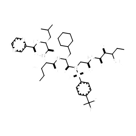 CCC(N)C(=O)C(=O)NC(=O)CN(C(=O)[C@H](CC1CCCCC1)NC(=O)[C@@H](NC(=O)[C@H](CC(C)C)NC(=O)c1cnccn1)[C@@H](C)CC)S(=O)(=O)c1ccc(C(F)(F)F)cc1